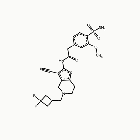 COc1cc(CC(=O)Nc2sc3c(c2C#N)CN(CC2CC(F)(F)C2)CC3)ccc1S(N)(=O)=O